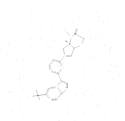 CN1C(=O)CO[C@H]2CN(c3ccnc(-c4cnc5cnc(C(F)(F)F)cn45)n3)C[C@@H]21